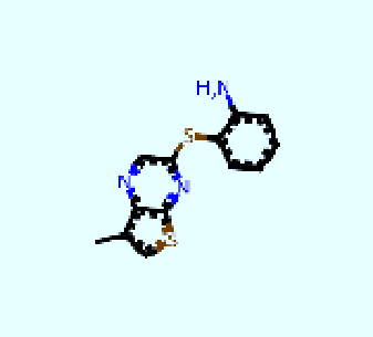 Cc1csc2nc(Sc3ccccc3N)cnc12